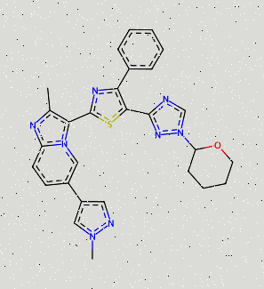 Cc1nc2ccc(-c3cnn(C)c3)cn2c1-c1nc(-c2ccccc2)c(-c2ncn(C3CCCCO3)n2)s1